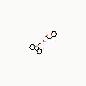 O=C(N[C@H](C(=O)O)[C@H](O)c1ccccc1)OCC1c2ccccc2-c2ccccc21